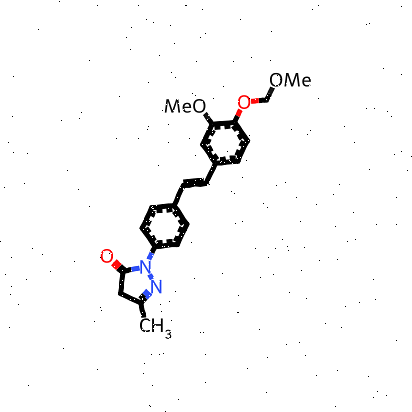 COCOc1ccc(C=Cc2ccc(N3N=C(C)CC3=O)cc2)cc1OC